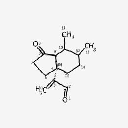 C=C(C=O)[C@]12CCC(=O)C1C(C)C(C)CC2